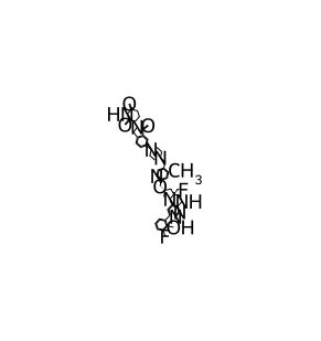 Cc1cc(O[C@H]2CN3c4cc(-c5cccc(F)c5O)nnc4NC[C@@]3(CF)C2)ncc1CN1CCN(c2ccc3c(c2)C(=O)N([C@H]2CCC(=O)NC2=O)C3)CC1